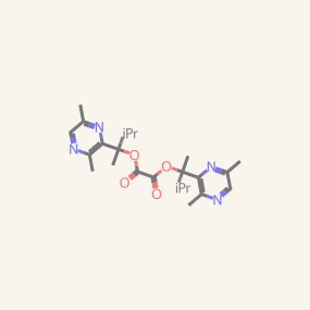 Cc1cnc(C)c(C(C)(OC(=O)C(=O)OC(C)(c2nc(C)cnc2C)C(C)C)C(C)C)n1